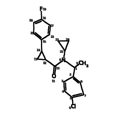 CC(c1ccc(Cl)cc1)N(C(=O)C1CC1c1ccc(F)cc1)C1CC1